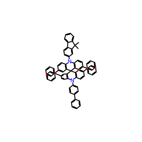 CC1(C)c2ccccc2-c2ccc(N3c4ccc(-c5ccccc5)cc4C4(c5cc(-c6ccccc6)ccc5N(c5ccc(-c6ccccc6)cc5)c5ccc(-c6ccccc6)cc54)c4cc(-c5ccccc5)ccc43)cc21